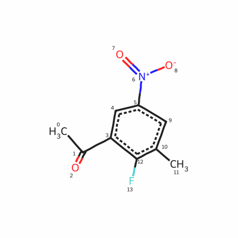 CC(=O)c1cc([N+](=O)[O-])cc(C)c1F